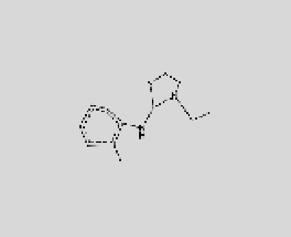 CCN1CCSC1Nc1ccccc1C